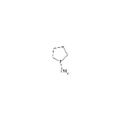 PP1CCCC1